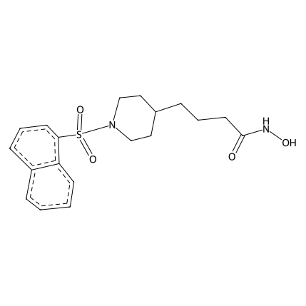 O=C(CCCC1CCN(S(=O)(=O)c2cccc3ccccc23)CC1)NO